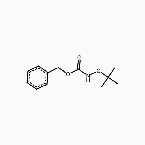 CC(C)(C)ONC(=O)OCc1ccccc1